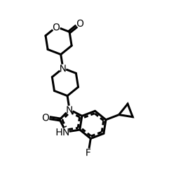 O=C1CC(N2CCC(n3c(=O)[nH]c4c(F)cc(C5CC5)cc43)CC2)CCO1